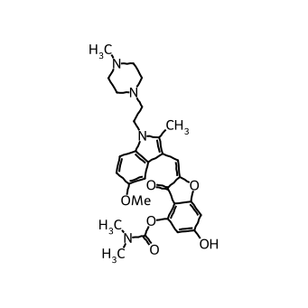 COc1ccc2c(c1)c(C=C1Oc3cc(O)cc(OC(=O)N(C)C)c3C1=O)c(C)n2CCN1CCN(C)CC1